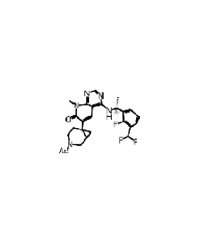 CC(=O)N1CCC2(c3cc4c(N[C@H](C)c5cccc(C(F)F)c5F)ncnc4n(C)c3=O)CC2C1